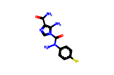 NC(=O)c1ncn(C(=O)N(N)c2ccc(S)cc2)c1N